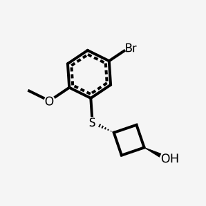 COc1ccc(Br)cc1S[C@H]1C[C@H](O)C1